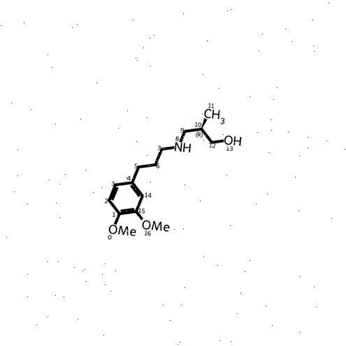 COc1ccc(CCCNC[C@@H](C)CO)cc1OC